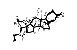 CCC(=O)O[C@]1(C(=O)SCF)[C@@H](C)C[C@H]2[C@@H]3CCC4=CC(=O)C=C[C@]4(C)[C@H]3[C@@H](O)C[C@@]21C